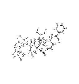 CCC(CC)C(=O)O[C@@H]1[C@@H]2O[Si](C(C)C)(C(C)C)O[Si](C(C)C)(C(C)C)OC[C@H]2O[C@@]1(C#N)c1ccc2c(NC(=O)c3ccccc3)ncnn12